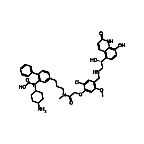 COc1cc(OCC(=O)N(C)CCCc2ccc(-c3ccccc3)c(N(C(=O)O)C3CCC(N)CC3)c2)c(Cl)cc1CNC[C@H](O)c1ccc(O)c2[nH]c(=O)ccc12